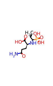 C=CC(N[C@@H](CCC(N)=O)C(=O)O)P(=O)(O)O